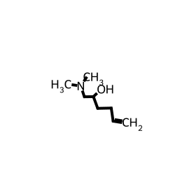 C=CCCC(O)CN(C)C